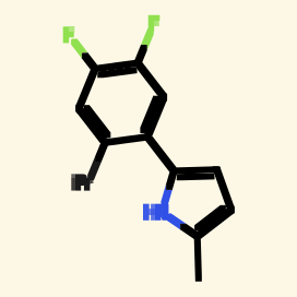 Cc1ccc(-c2cc(F)c(F)cc2C(C)C)[nH]1